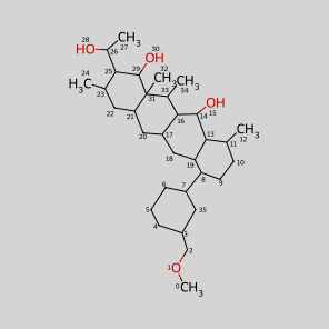 COCC1CCCC(C2CCC(C)C3C(O)C4C(CC23)CC2CC(C)C(C(C)O)C(O)C2(C)C4C)C1